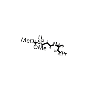 COC(OC)[SiH2]CCCN=C(C)CC(C)C